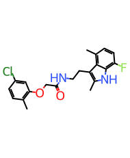 Cc1ccc(Cl)cc1OCC(=O)NCCc1c(C)[nH]c2c(F)ccc(C)c12